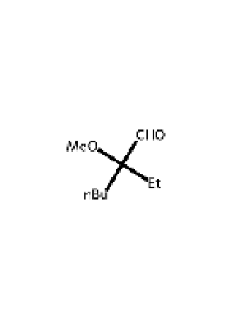 CCCCC(C=O)(CC)OC